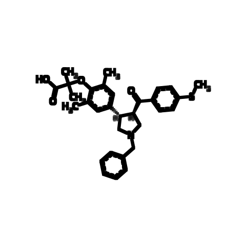 CSc1ccc(C(=O)[C@H]2CN(Cc3ccccc3)C[C@@H]2c2cc(C)c(OC(C)(C)C(=O)O)c(C)c2)cc1